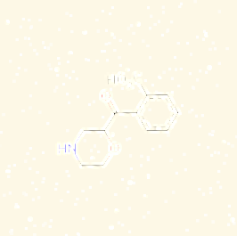 O=C(O)c1ccccc1C(=O)C1CNCCO1